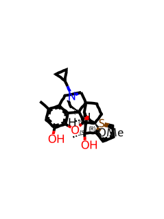 CO[C@]12CCC3(C[C@@H]1[C@](C)(O)c1cccs1)C1Cc4c(C)cc(O)c5c4[C@@]3(CCN1C1CC1)[C@@H]2O5